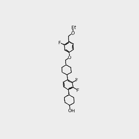 CCOCc1ccc(OCC2CCC(c3ccc(C4CCC(O)CC4)c(F)c3F)CC2)cc1F